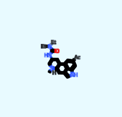 CCN(CC)C(=O)N[C@H]1CC2c3cc(C(C)=O)cc4[nH]cc(c34)C[C@H]2N(C)C1